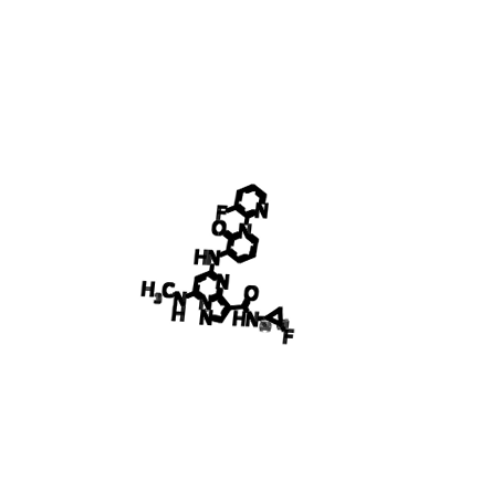 CNc1cc(Nc2cccn(-c3ncccc3F)c2=O)nc2c(C(=O)N[C@H]3C[C@H]3F)cnn12